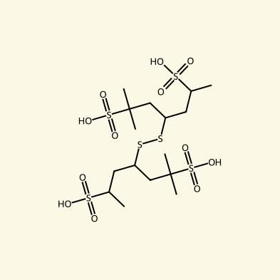 CC(CC(CC(C)(C)S(=O)(=O)O)SSC(CC(C)S(=O)(=O)O)CC(C)(C)S(=O)(=O)O)S(=O)(=O)O